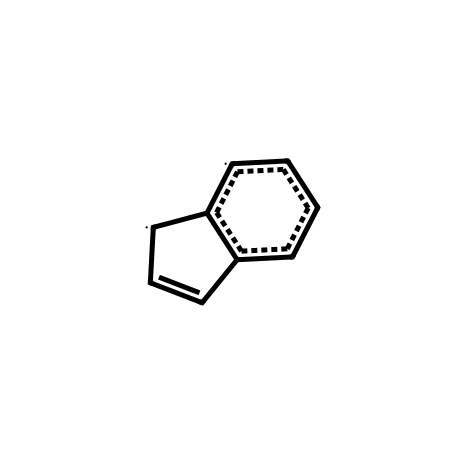 [c]1cccc2c1[CH]C=C2